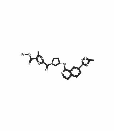 CCCOC(=O)c1sc(C(=O)N2CC[C@H](Nc3nccc4ccc(-c5noc(C)n5)cc34)C2)nc1C